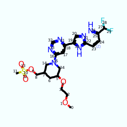 COCCOC1CC(COS(C)(=O)=O)CN(c2cc(-c3cnc(/C=C\C(=N)C(F)F)[nH]3)ncn2)C1